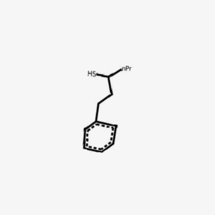 CCCC(S)CCc1ccccc1